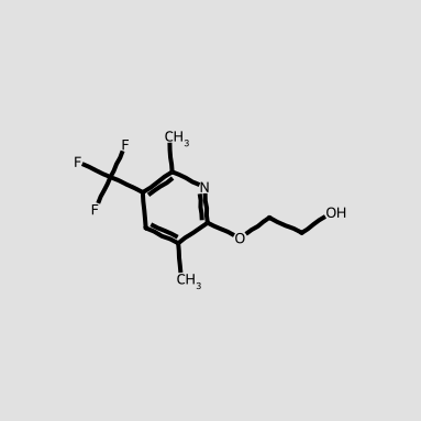 Cc1cc(C(F)(F)F)c(C)nc1OCCO